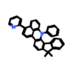 CC1(C)c2ccccc2-c2c1ccc1c2N(c2ccccc2)c2cccc3c(-c4ccccn4)ccc-1c23